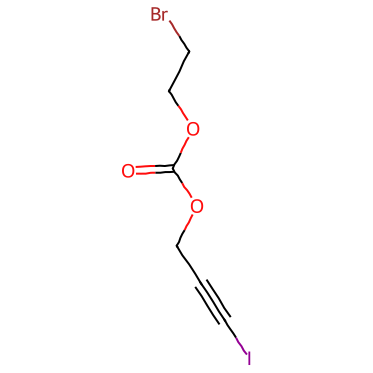 O=C(OCC#CI)OCCBr